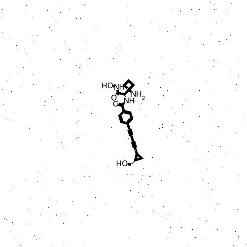 NC1([C@H](NC(=O)c2ccc(C#CC#CC3C[C@@H]3CO)cc2)C(=O)NO)CCC1